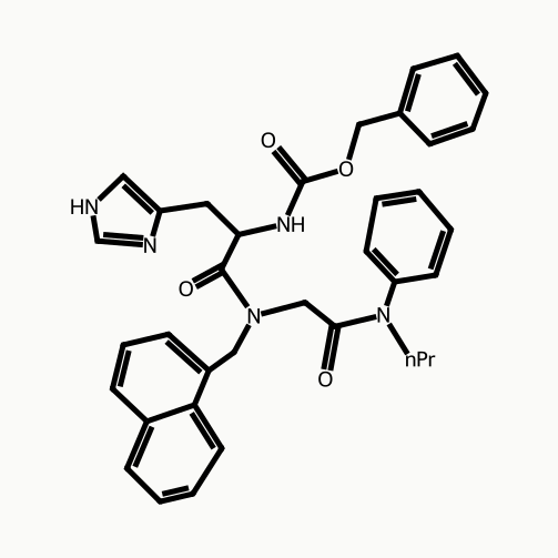 CCCN(C(=O)CN(Cc1cccc2ccccc12)C(=O)C(Cc1c[nH]cn1)NC(=O)OCc1ccccc1)c1ccccc1